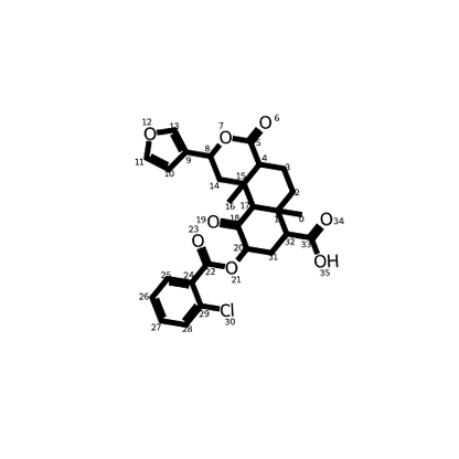 CC12CCC3C(=O)OC(c4ccoc4)CC3(C)C1C(=O)C(OC(=O)c1ccccc1Cl)CC2C(=O)O